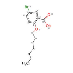 CCCCCCCOc1ccc(Br)cc1C(=O)O